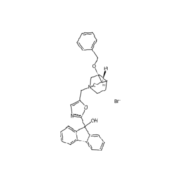 OC1(c2ncc(C[N+]34CCC(CC3)[C@@H](OCc3ccccc3)C4)o2)c2ccccc2-c2ccccc21.[Br-]